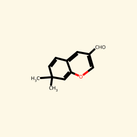 CC1(C)C=CC2=CC(C=O)=COC2=C1